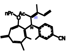 C=C/C(C)=C(/C(C)=O)[C@H](C1=C(C)C(C)=CC(=C)C=C1OCCC)c1ccc(C#N)cc1C